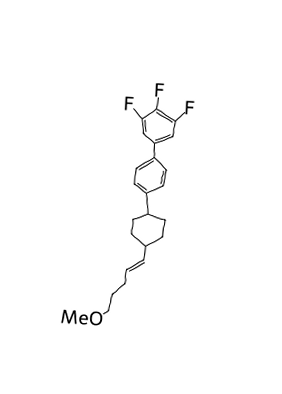 COCCC/C=C/C1CCC(c2ccc(-c3cc(F)c(F)c(F)c3)cc2)CC1